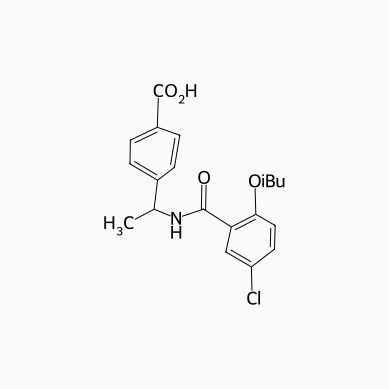 CC(C)COc1ccc(Cl)cc1C(=O)NC(C)c1ccc(C(=O)O)cc1